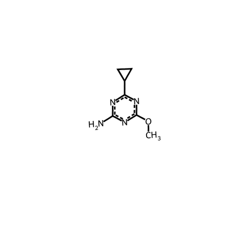 COc1nc(N)nc(C2CC2)n1